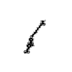 C=C(C)C(=O)OCCCCCCCCCCCOc1ccc(C(=O)Oc2ccc(C=CC(=O)OC)cc2OC)cc1